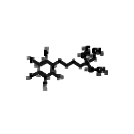 CC[Si](CCCCc1c(F)c(F)c(F)c(F)c1F)(OC)OC